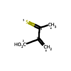 C=C(C(=O)O)C(C)=S